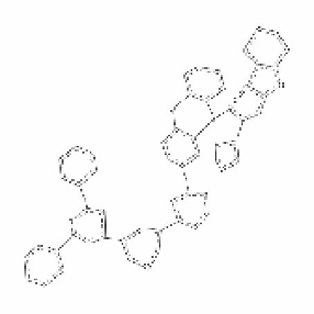 c1ccc(-c2cc(-c3cccc(-c4cccc(-c5ccc6c(c5)C5(c7ccccc7O6)c6ccccc6-c6cc7oc8ccccc8c7cc65)c4)c3)nc(-c3ccccc3)n2)cc1